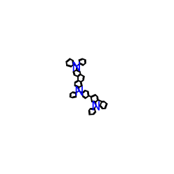 c1ccc(N(c2ccccc2)c2ccc3c(ccc4cc(N(c5ccccc5)c5ccc(-c6ccc7c8ccccc8n(-c8ccccc8)c7c6)cc5)ccc43)c2)cc1